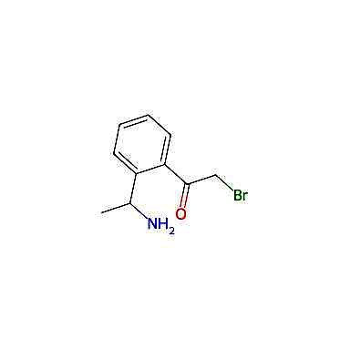 CC(N)c1ccccc1C(=O)CBr